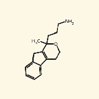 CC1(CCCN)OCCC2=C1Cc1ccccc12